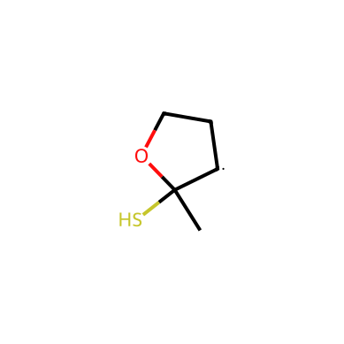 CC1(S)[CH]CCO1